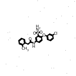 Cc1ccccc1CC(=O)Nc1ccc(Oc2cccc(Cl)c2)c(S(N)(=O)=O)c1